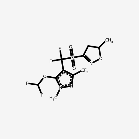 CC1CC(S(=O)(=O)C(F)(F)c2c(C(F)(F)F)nn(C)c2OC(F)F)=NO1